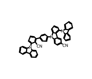 N#Cc1ccc2c(c1)c1c(-n3c4ccccc4c4ccccc43)cccc1n2-c1ccc(-c2cccc(-n3c4ccccc4c4ccccc43)c2C#N)cc1